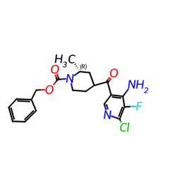 C[C@@H]1CC(C(=O)c2cnc(Cl)c(F)c2N)CCN1C(=O)OCc1ccccc1